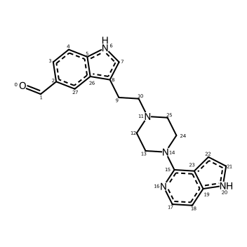 O=Cc1ccc2[nH]cc(CCN3CCN(c4nccc5[nH]ccc45)CC3)c2c1